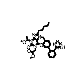 CCCCCc1nc2c(c(=O)n(CC(=O)OC)c(=O)n2C(C)OC)n1Cc1ccc(-c2ccccc2-c2nnn[nH]2)cc1